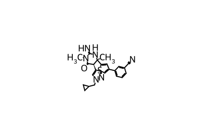 CN1C(=N)N[C@](C)(c2cc(-c3cccc(C#N)c3)cs2)[C@@H](c2cnn(CC3CC3)c2)C1=O